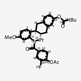 COc1ccc(C2CCc3cc(OC(=O)C(C)(C)C)ccc3C2)c(N(C(=O)c2ccc(OC(C)=O)c(F)c2)C(C)C)c1